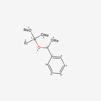 CC[Si](OC)(OC)OC(OC)c1ccccc1